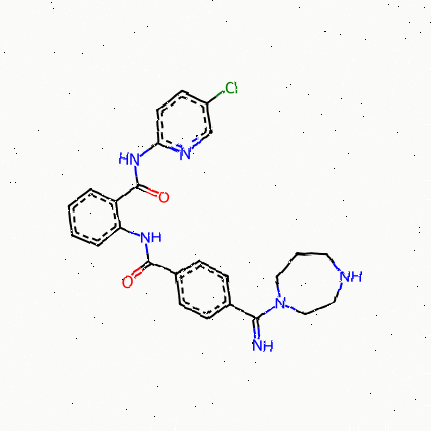 N=C(c1ccc(C(=O)Nc2ccccc2C(=O)Nc2ccc(Cl)cn2)cc1)N1CCCNCC1